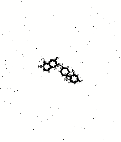 Cc1cc2c(=O)[nH]ccc2cc1OC1CCC(N)(c2ccc(F)cc2F)CC1